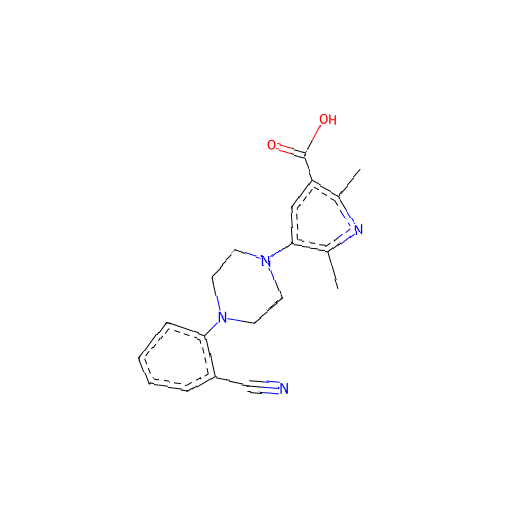 Cc1nc(C)c(N2CCN(c3ccccc3C#N)CC2)cc1C(=O)O